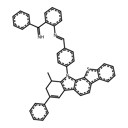 CC1CC(c2ccccc2)=Cc2c1n(-c1ccc(/C=N/c3ccccc3C(=N)c3ccccc3)cc1)c1c2ccc2c3ccccc3sc21